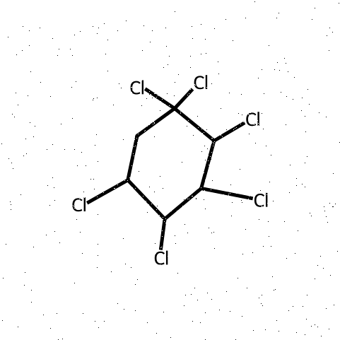 ClC1CC(Cl)(Cl)C(Cl)C(Cl)C1Cl